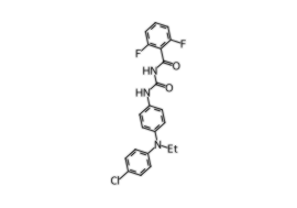 CCN(c1ccc(Cl)cc1)c1ccc(NC(=O)NC(=O)c2c(F)cccc2F)cc1